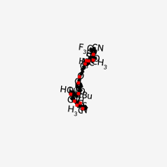 Cc1ncsc1-c1ccc(CNC(=O)[C@@H]2C[C@@H](O)CN2C(=O)[C@@H](NC(=O)c2ccc(OCCOCCCCOc3ccc(N4C(=S)N(c5ccc(C#N)c(C(F)(F)F)c5F)C(=O)C4(C)C)cn3)cc2)C(C)(C)C)cc1